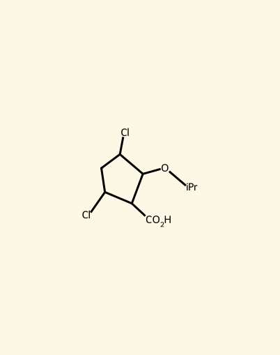 CC(C)OC1C(Cl)CC(Cl)C1C(=O)O